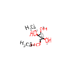 O[Si](O)(O)O.[CaH2].[CaH2]